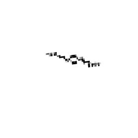 CC(C)OCCCN1CCN(CCCOC(C)(C)C)CC1